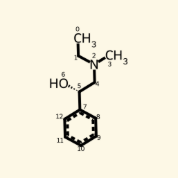 CCN(C)C[C@@H](O)c1ccccc1